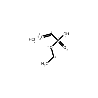 C=CP(=O)(O)OCC.Cl